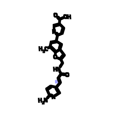 Cc1cc(-c2ccc(C(=O)O)cn2)cc2cc(CNC(=O)/C=C/c3ccc(N)nc3)oc12